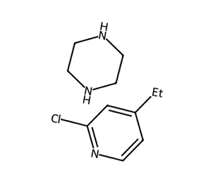 C1CNCCN1.CCc1ccnc(Cl)c1